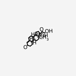 C[C@]12CC[C@H]3[C@@H](CCC4=CC(=O)CC[C@@H]43)[C@@H]1CC[C@]2(O)C(=O)CO